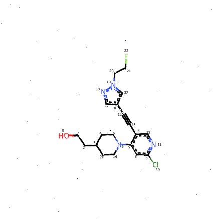 OCCC1CCN(c2cc(Cl)ncc2C#Cc2cnn(CCF)c2)CC1